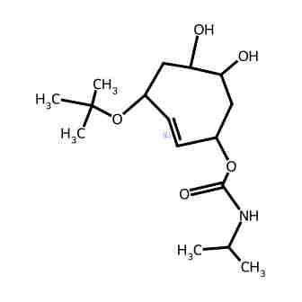 CC(C)NC(=O)OC1/C=C/C(OC(C)(C)C)CC(O)C(O)C1